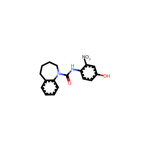 O=C(Nc1ccc(O)cc1[N+](=O)[O-])N1CCCCc2ccccc21